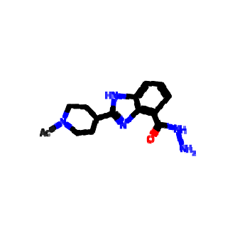 CC(=O)N1CCC(c2nc3c(C(=O)NN)cccc3[nH]2)CC1